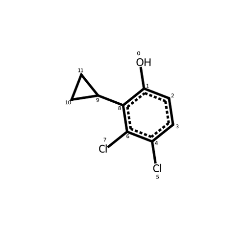 Oc1ccc(Cl)c(Cl)c1C1CC1